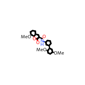 COc1ccc(OC)c(-c2cccc(NC(=O)c3cc4cccc(OC)c4oc3=O)c2)c1